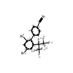 N#Cc1ccc(-c2c(Br)[c]c(Br)cc2C(F)(C(F)(F)F)C(F)(F)F)cc1